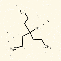 CCCC([NH])(CCC)CCC